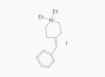 CC[N+]1(CC)CCC(=Cc2ccccc2)CC1.[I-]